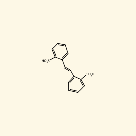 O=S(=O)(O)c1ccccc1[C]=Cc1ccccc1S(=O)(=O)O